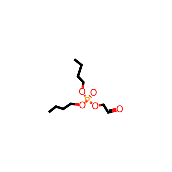 CCCCOP(=O)(OCC=O)OCCCC